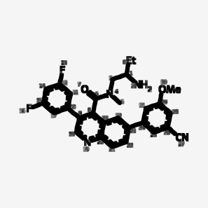 CCC(N)CN(C)C(=O)c1c(-c2cc(F)cc(F)c2)cnc2ccc(-c3cc(C#N)cc(OC)c3)cc12